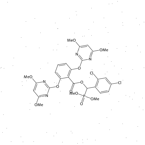 COc1cc(OC)nc(Oc2cccc(Oc3nc(OC)cc(OC)n3)c2C(=O)OC(c2ccc(Cl)cc2Cl)P(=O)(OC)OC)n1